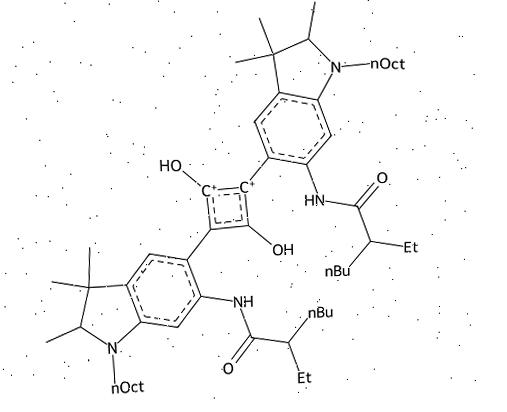 CCCCCCCCN1c2cc(NC(=O)C(CC)CCCC)c(-c3c(O)[c+](-c4cc5c(cc4NC(=O)C(CC)CCCC)N(CCCCCCCC)C(C)C5(C)C)[c+]3O)cc2C(C)(C)C1C